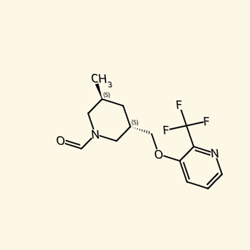 C[C@H]1C[C@H](COc2cccnc2C(F)(F)F)CN(C=O)C1